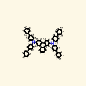 C1=CCCC(c2cc(N(c3ccc(-c4ccccc4)cc3)c3ccc(-c4ccccc4)cc3)ccc2-c2ccc(N(c3ccc(-c4ccccc4)cc3)c3ccc(-c4ccccc4)cc3)cc2)=C1